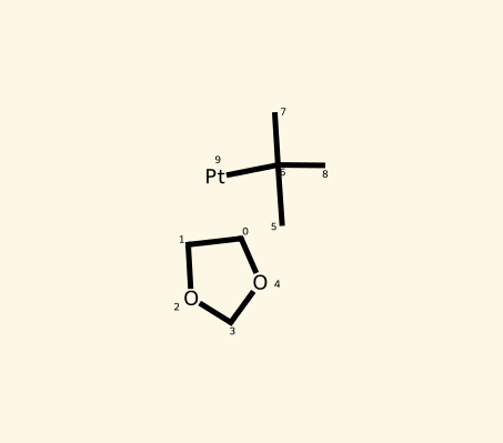 C1COCO1.C[C](C)(C)[Pt]